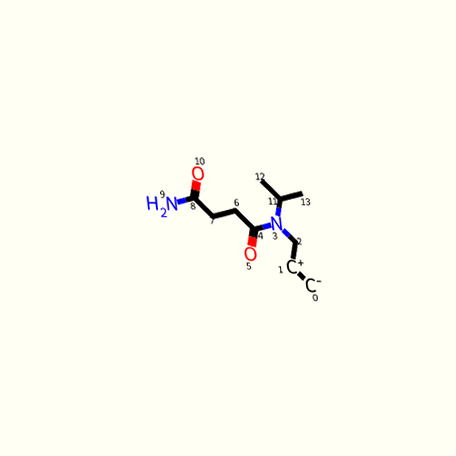 [CH2-][CH+]CN(C(=O)CCC(N)=O)C(C)C